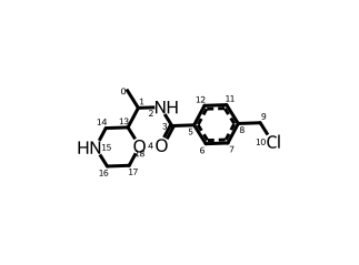 CC(NC(=O)c1ccc(CCl)cc1)C1CNCCO1